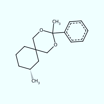 C[C@@H]1CCCC2(COC(C)(c3ccccc3)OC2)C1